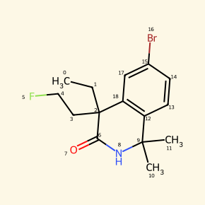 CCC1(CCF)C(=O)NC(C)(C)c2ccc(Br)cc21